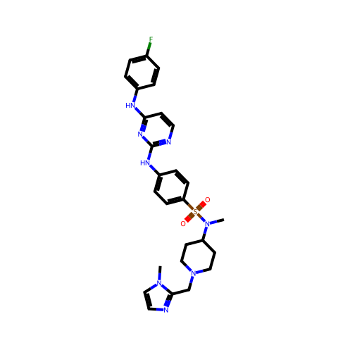 CN(C1CCN(Cc2nccn2C)CC1)S(=O)(=O)c1ccc(Nc2nccc(Nc3ccc(F)cc3)n2)cc1